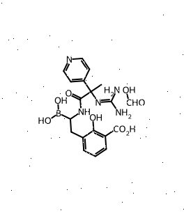 CC(N=C(N)N)(C(=O)NC(Cc1cccc(C(=O)O)c1O)B(O)O)c1ccncc1.O=CO